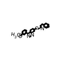 COc1cccc(-c2ncnc3cc(OCc4ccc5ccccc5n4)ccc23)c1